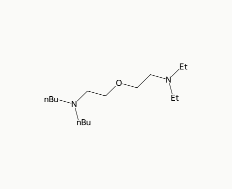 CCCCN(CCCC)CCOCCN(CC)CC